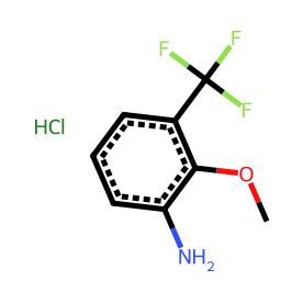 COc1c(N)cccc1C(F)(F)F.Cl